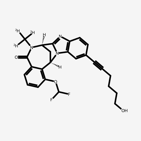 [2H]C([2H])([2H])N1C(=O)c2cccc(OC(F)F)c2[C@H]2C[C@@H]1c1nc3ccc(C#CCCCCO)cc3n12